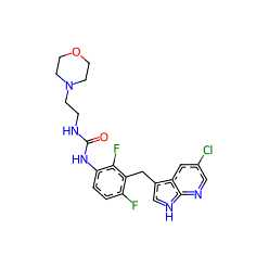 O=C(NCCN1CCOCC1)Nc1ccc(F)c(Cc2c[nH]c3ncc(Cl)cc23)c1F